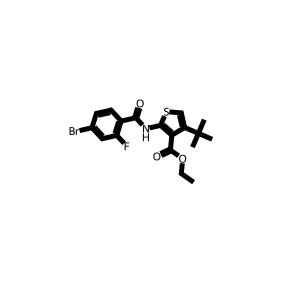 CCOC(=O)c1c(C(C)(C)C)csc1NC(=O)c1ccc(Br)cc1F